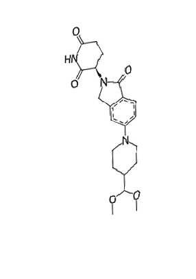 COC(OC)C1CCN(c2ccc3c(c2)CN([C@@H]2CCC(=O)NC2=O)C3=O)CC1